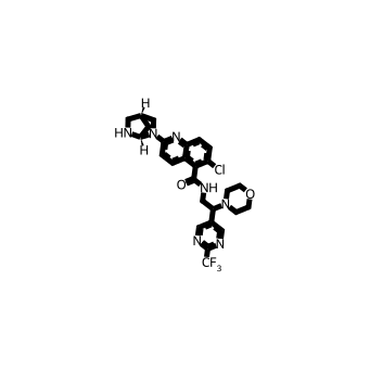 O=C(NCC(c1cnc(C(F)(F)F)nc1)N1CCOCC1)c1c(Cl)ccc2nc(N3C[C@@H]4CN[C@H]3C4)ccc12